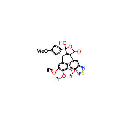 COc1ccc(C2(O)OC(=O)C(c3ccc4nsnc4c3)=C2Cc2cc(OC(C)C)c(OC(C)C)c(OC(C)C)c2)cc1